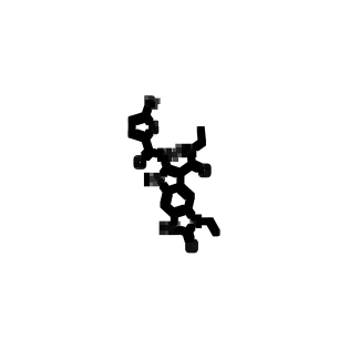 CCNC(=O)c1c(NC(=O)c2ccc(Br)s2)[nH]c2cc3[nH]c(=O)n(CC)c3cc12